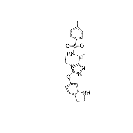 CCn1c(Oc2ccc3c(c2)NCC3)nnc1[C@@H](C)NS(=O)(=O)c1ccc(C)cc1